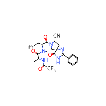 CC(C)C[C@@H](C(=O)N1C[C@@]2(C[C@H]1C#N)N=C(c1ccccc1)NC2=O)N(C)C(=O)[C@H](C)NC(=O)C(F)(F)F